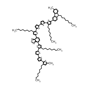 CCCCCCCCc1cc(C)sc1-c1ccc(-c2ccc(-c3sc(-c4ccc(-c5cc(CCCCCCCC)c(-c6ccc(-c7ccc(-c8sc(-c9ccc%10c(c9)-c9cc(C)ccc9C%10CCCCCCCC)cc8CCCCCCCC)s7)s6)s5)c5nsnc45)cc3CCCCCCCC)s2)s1